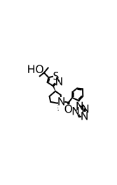 C[C@@H]1CC[C@@H](c2cc(C(C)(C)O)sn2)CN1C(=O)c1ccccc1-n1ncnn1